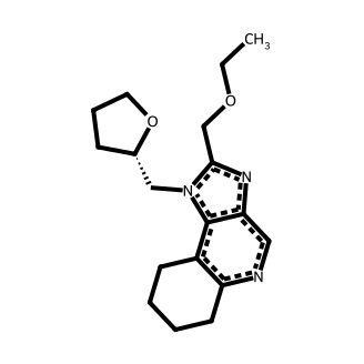 CCOCc1nc2cnc3c(c2n1C[C@@H]1CCCO1)CCCC3